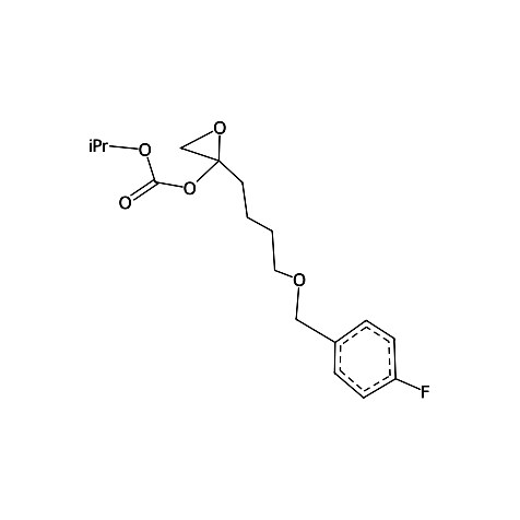 CC(C)OC(=O)OC1(CCCCOCc2ccc(F)cc2)CO1